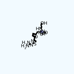 CS(=O)(=O)/N=C(/NCCO)NCc1ccc(-c2csc(N=C(N)N)n2)o1